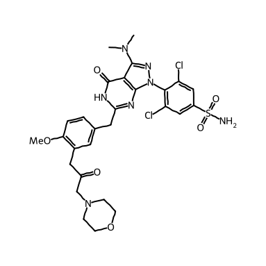 COc1ccc(Cc2nc3c(c(N(C)C)nn3-c3c(Cl)cc(S(N)(=O)=O)cc3Cl)c(=O)[nH]2)cc1CC(=O)CN1CCOCC1